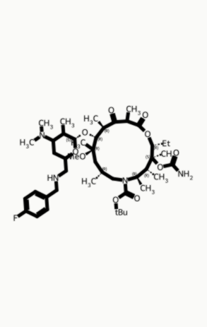 CC[C@H]1OC(=O)C(C)C(=O)[C@H](C)[C@@H](O[C@@H]2OC(CNCc3ccc(F)cc3)CC(N(C)C)C2C)[C@](C)(OC)C[C@@H](C)CN(C(=O)OC(C)(C)C)[C@H](C)[C@@H](C)[C@]1(C)OC(N)=O